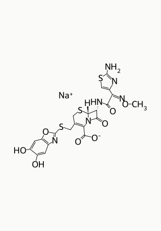 CO/N=C(\C(=O)N[C@@H]1C(=O)N2C(C(=O)[O-])=C(CSc3nc4cc(O)c(O)cc4o3)CS[C@H]12)c1csc(N)n1.[Na+]